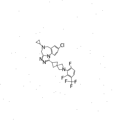 Fc1ccc(C(F)(F)F)c(F)c1N1CC2(CC(c3nnc4n3-c3ccc(Cl)cc3CN(C3CC3)C4)C2)C1